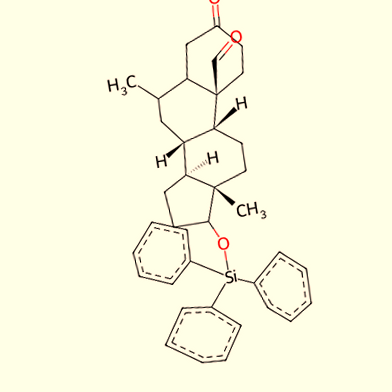 CC1C[C@@H]2[C@@H](CC[C@]3(C)C(O[Si](c4ccccc4)(c4ccccc4)c4ccccc4)CC[C@@H]23)[C@@]2(C=O)CCC(=O)CC12